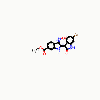 COC(=O)c1ccc2c(c1)NC(=C1\C(=O)Nc3cc(Br)ccc31)/C2=N\O